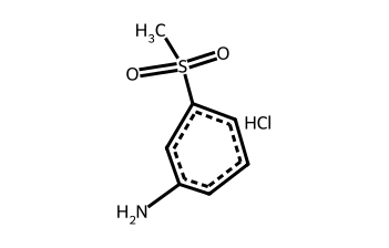 CS(=O)(=O)c1cccc(N)c1.Cl